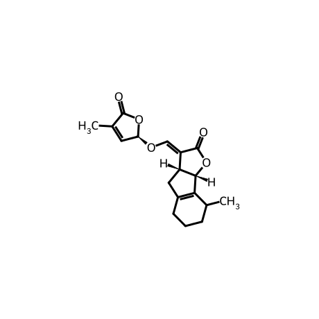 CC1=C[C@H](O/C=C2/C(=O)O[C@@H]3C4=C(CCCC4C)C[C@H]23)OC1=O